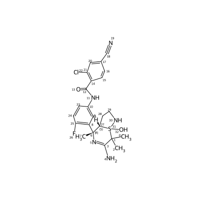 CC1(C)C(N)=N[C@](C)(c2cc(NC(=O)c3ccc(C#N)cc3Cl)ccc2F)[C@@H]2CCNS21O